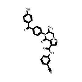 CC1Cn2ncc(C(=O)Nc3cccc(C#N)c3)c2C(=O)N1c1ccc(C(=O)c2ccc(O)cc2)cc1